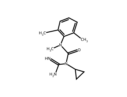 Cc1cccc(C)c1N(C)C(=O)N(C(=N)N)C1CC1